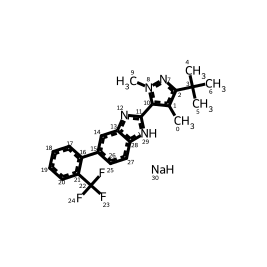 Cc1c(C(C)(C)C)nn(C)c1-c1nc2cc(-c3ccccc3C(F)(F)F)ccc2[nH]1.[NaH]